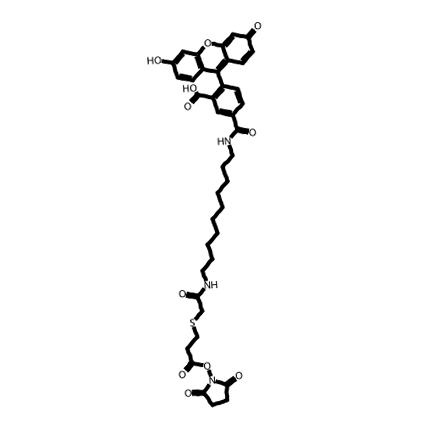 O=C(CSCCC(=O)ON1C(=O)CCC1=O)NCCCCCCCCCCNC(=O)c1ccc(-c2c3ccc(=O)cc-3oc3cc(O)ccc23)c(C(=O)O)c1